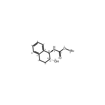 CC(C)(C)OC(=O)N[C@@H]1c2ccccc2CC[C@H]1O